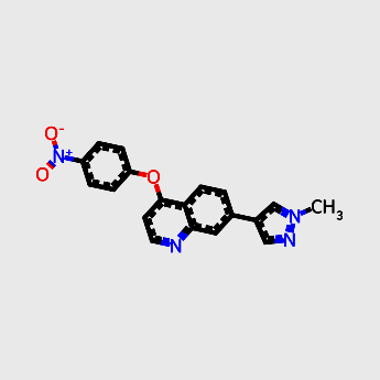 Cn1cc(-c2ccc3c(Oc4ccc([N+](=O)[O-])cc4)ccnc3c2)cn1